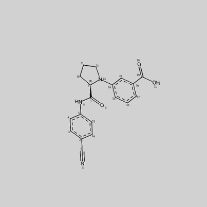 N#Cc1ccc(NC(=O)[C@H]2CCCN2c2cccc(C(=O)O)c2)cc1